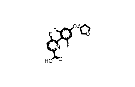 O=C(O)c1ccc(F)c(-c2c(F)cc(O[C@@H]3CCOC3)cc2F)n1